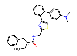 CN(C)c1ccc(-c2ccccc2-c2csc(CNC(=O)[C@@H](CC(=O)O)Cc3ccccc3)n2)cc1